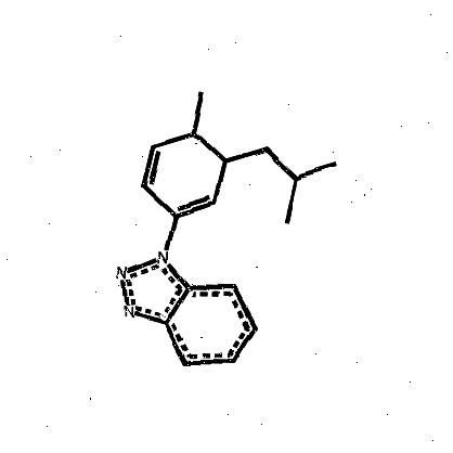 CC(C)CC1C=C(n2nnc3ccccc32)C=CC1C